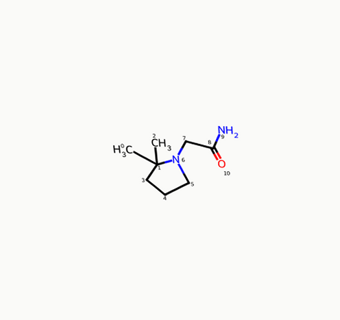 CC1(C)CCCN1CC(N)=O